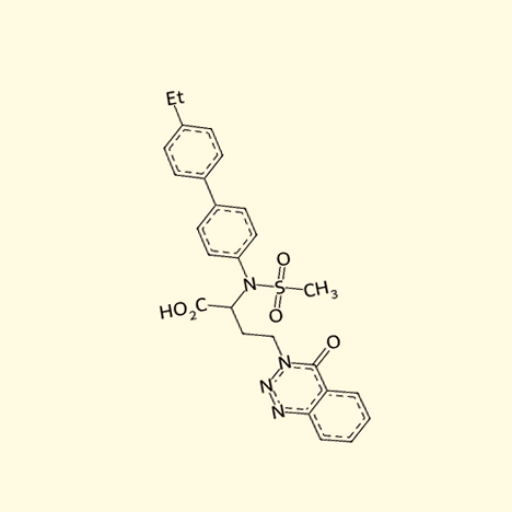 CCc1ccc(-c2ccc(N(C(CCn3nnc4ccccc4c3=O)C(=O)O)S(C)(=O)=O)cc2)cc1